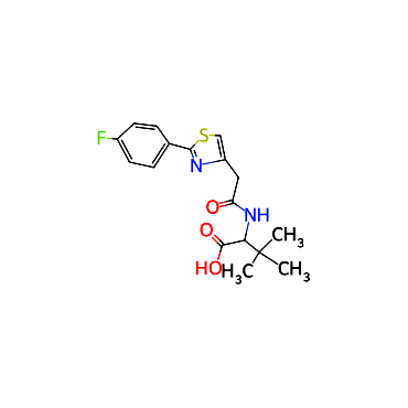 CC(C)(C)C(NC(=O)Cc1csc(-c2ccc(F)cc2)n1)C(=O)O